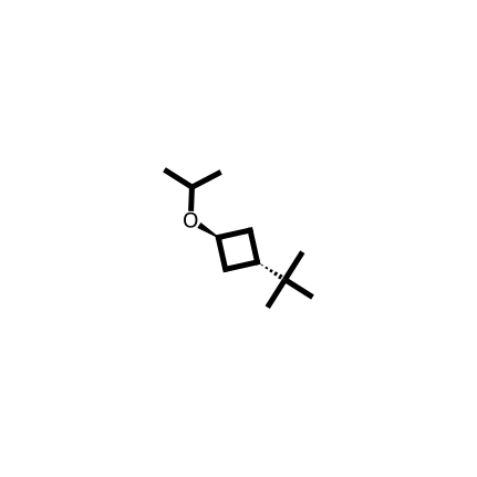 CC(C)O[C@H]1C[C@H](C(C)(C)C)C1